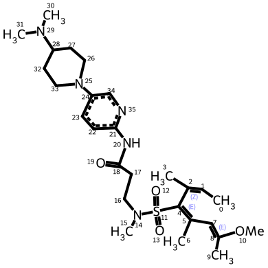 C\C=C(C)/C(=C(C)\C=C(/C)OC)S(=O)(=O)N(C)CCC(=O)Nc1ccc(N2CCC(N(C)C)CC2)cn1